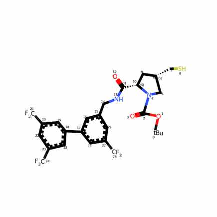 CC(C)(C)OC(=O)N1C[C@@H](CS)C[C@H]1C(=O)NCc1cc(-c2cc(C(F)(F)F)cc(C(F)(F)F)c2)cc(C(F)(F)F)c1